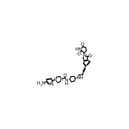 Nc1ccc(N2CCN(C(=O)N[C@H]3CC[C@H](NCCC#Cc4ccc5c(c4)CN(C4CCC(=O)NC4=O)C5=O)CC3)CC2)nc1